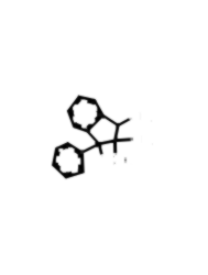 CC1c2ccccc2C(C(=O)O)(c2ccccc2)C1(C)C